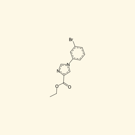 CCOC(=O)c1cn(-c2cccc(Br)c2)cn1